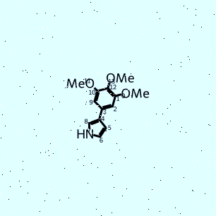 COc1cc(-c2[c]c[nH]c2)cc(OC)c1OC